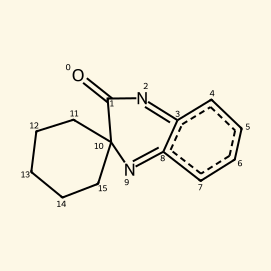 O=C1N=c2ccccc2=NC12CCCCC2